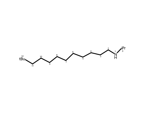 CC(C)NCCCCCCCCCCC(C)(C)C